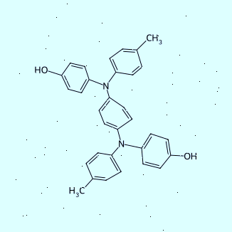 Cc1ccc(N(c2ccc(O)cc2)c2ccc(N(c3ccc(C)cc3)c3ccc(O)cc3)cc2)cc1